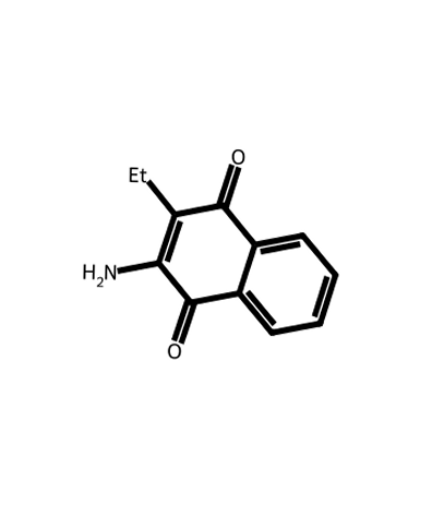 CCC1=C(N)C(=O)c2ccccc2C1=O